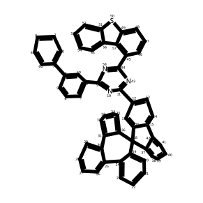 c1ccc(-c2cccc(-c3nc(-c4ccc5c(c4)C4(c6ccccc6-c6ccccc6-c6ccccc64)c4ccccc4-5)nc(-c4cccc5sc6ccccc6c45)n3)c2)cc1